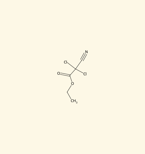 CCOC(=O)C(Cl)(Cl)C#N